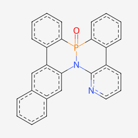 O=P12c3ccccc3-c3cc4ccccc4cc3N1c1ncccc1-c1ccccc12